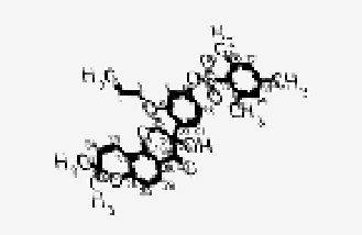 C=CCOc1cc(OS(=O)(=O)c2c(C)cc(C)cc2C)ccc1C1(O)COc2c(ccc3c2C=CC(C)(C)O3)C1=O